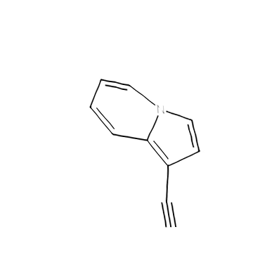 [C]#Cc1[c]cn2ccccc12